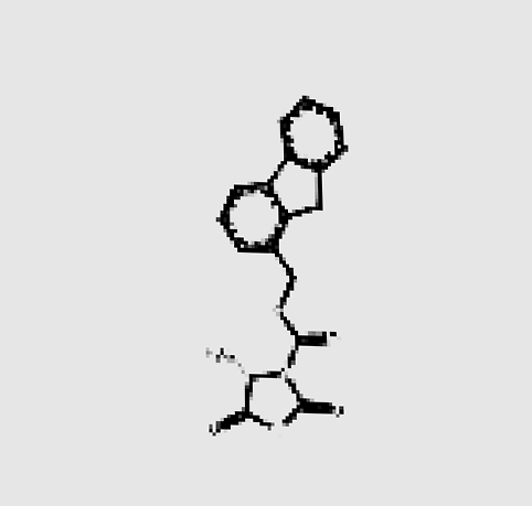 C[C@H]1C(=O)OC(=O)N1C(=O)OCc1cccc2c1Cc1ccccc1-2